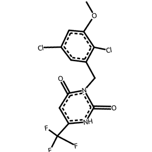 COc1cc(Cl)cc(Cn2c(=O)cc(C(F)(F)F)[nH]c2=O)c1Cl